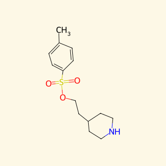 Cc1ccc(S(=O)(=O)OCCC2CCNCC2)cc1